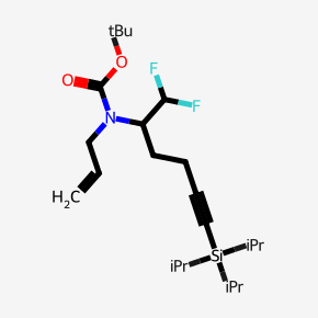 C=CCN(C(=O)OC(C)(C)C)C(CCC#C[Si](C(C)C)(C(C)C)C(C)C)C(F)F